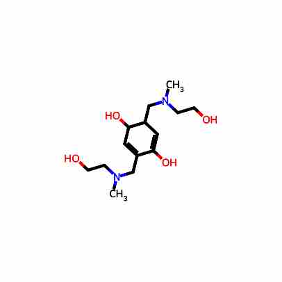 CN(CCO)CC1=CC(O)C(CN(C)CCO)C=C1O